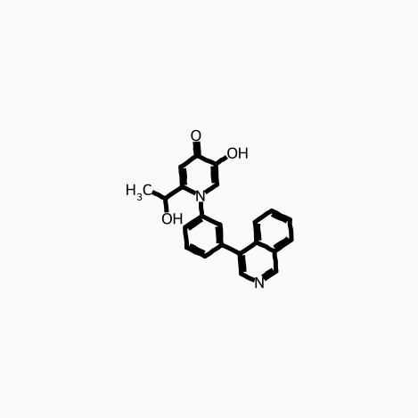 CC(O)c1cc(=O)c(O)cn1-c1cccc(-c2cncc3ccccc23)c1